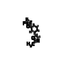 Cc1ncc(-c2cccc(OC(F)(F)F)c2)o1